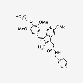 COc1cc2c(cn1)/C(=C\c1cc(OC)c(OCC(=O)O)c(OC)c1)C(C)=C2CC(=O)NCc1ccncc1